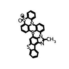 Cc1nc2c3c(cc4c2n1-c1cccc2c1B4c1cccc4c1N2c1ccccc1S4(=O)=O)sc1ccccc13